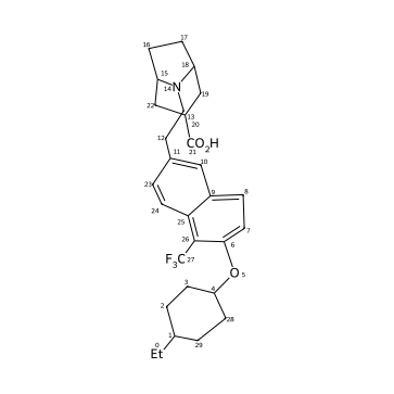 CCC1CCC(Oc2ccc3cc(CCN4C5CCC4CC(C(=O)O)C5)ccc3c2C(F)(F)F)CC1